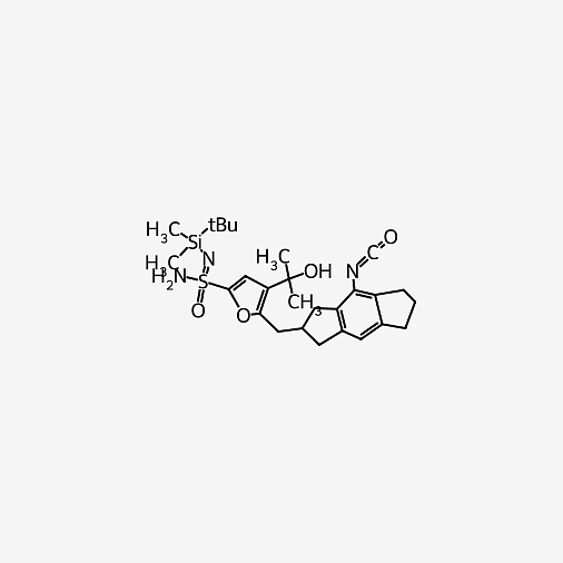 CC(C)(O)c1cc(S(N)(=O)=N[Si](C)(C)C(C)(C)C)oc1CC1Cc2cc3c(c(N=C=O)c2C1)CCC3